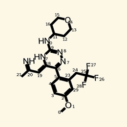 COc1ccc(C2=NN=C(NC3CCOCC3)N/C2=C\C(C)=N)c(CC(F)(F)F)c1